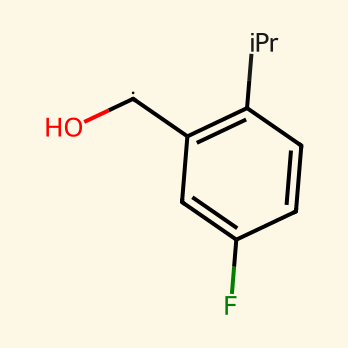 CC(C)c1ccc(F)cc1[CH]O